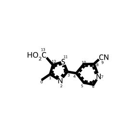 Cc1nc(-c2ccnc(C#N)c2)sc1C(=O)O